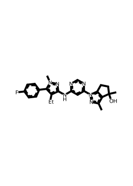 CCc1c(Nc2cc(-n3nc(C)c4c3CCC4(C)O)ncn2)nn(C)c1-c1ccc(F)cc1